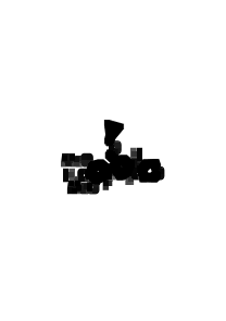 COc1cc(-c2ccc(NC3(C(=O)O)CCOCC3)cc2COCC2CC2)c(F)c(OC)c1C